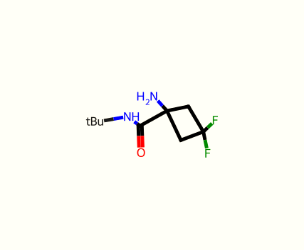 CC(C)(C)NC(=O)C1(N)CC(F)(F)C1